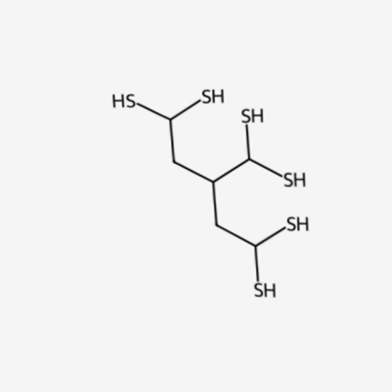 SC(S)CC(CC(S)S)C(S)S